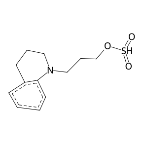 O=[SH](=O)OCCCN1CCCc2ccccc21